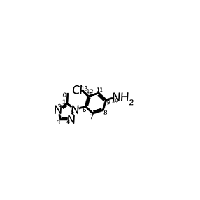 Cc1ncnn1-c1ccc(N)cc1Cl